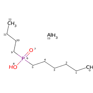 CCCCCCP(=O)(O)CCCC.[AlH3]